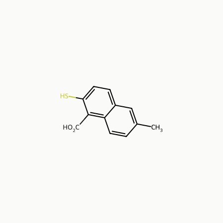 Cc1ccc2c(C(=O)O)c(S)ccc2c1